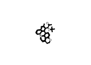 CC(=O)[C@@H](OC(C)(C)C)c1c(C)cc2cccc(F)c2c1-c1ccc2c3c(ccnc13)CCO2